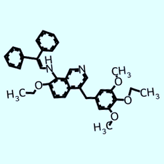 CCOc1ccc2c(Cc3cc(OC)c(OCC)c(OC)c3)cncc2c1NC=C(c1ccccc1)c1ccccc1